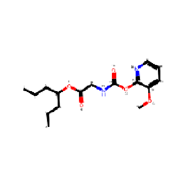 CCCC(CCC)OC(=O)CNC(=O)Oc1ncccc1OC